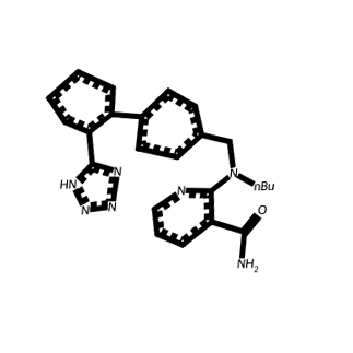 CCCCN(Cc1ccc(-c2ccccc2-c2nnn[nH]2)cc1)c1ncccc1C(N)=O